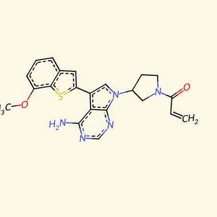 C=CC(=O)N1CCC(n2cc(-c3cc4cccc(OC)c4s3)c3c(N)ncnc32)C1